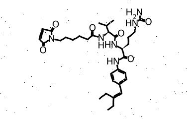 CCC(=Cc1ccc(NC(=O)[C@H](CCCNC(N)=O)NC(=O)[C@@H](NC(=O)CCCCCN2C(=O)C=CC2=O)C(C)C)cc1)CC